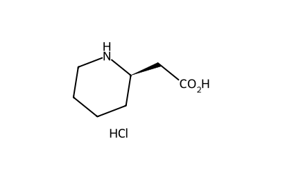 Cl.O=C(O)C[C@H]1CCCCN1